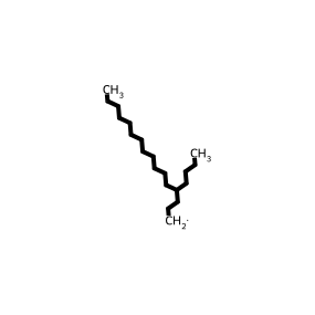 [CH2]CCC(CCCC)CCCCCCCCCCCC